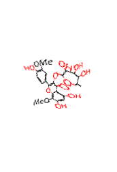 COc1cc(-c2oc3c(OC)c(O)cc(O)c3c(=O)c2O[C@@H]2OC(C)[C@H](O)C(O)[C@@H]2O)ccc1O